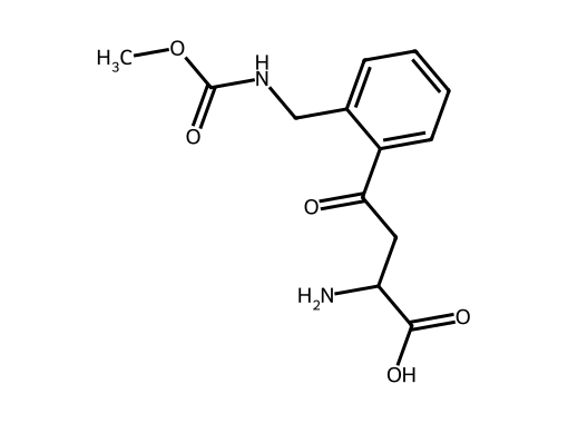 COC(=O)NCc1ccccc1C(=O)CC(N)C(=O)O